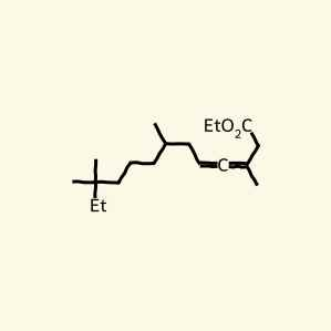 CCOC(=O)CC(C)=C=CCC(C)CCCC(C)(C)CC